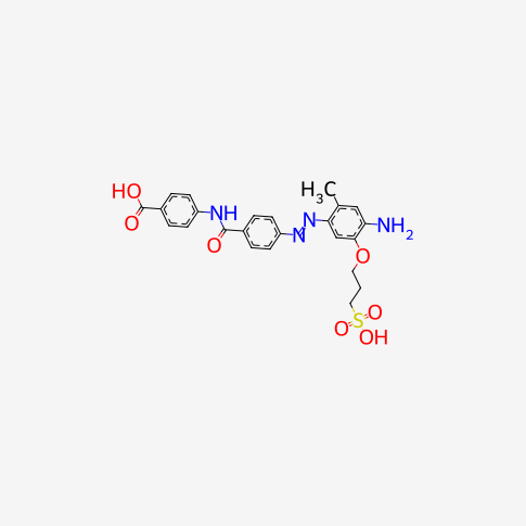 Cc1cc(N)c(OCCCS(=O)(=O)O)cc1N=Nc1ccc(C(=O)Nc2ccc(C(=O)O)cc2)cc1